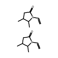 C=CN1C(=O)CC(C)C1C.C=CN1C(=O)CC(C)C1C